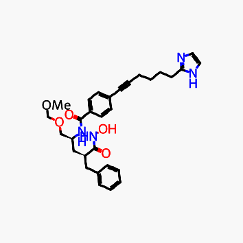 COCOC[C@H](C[C@H](Cc1ccccc1)C(=O)NO)NC(=O)c1ccc(C#CCCCCc2ncc[nH]2)cc1